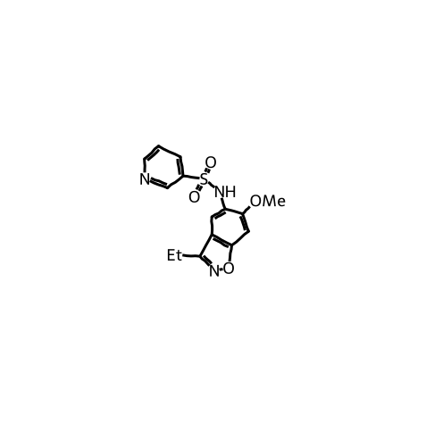 CCc1noc2cc(OC)c(NS(=O)(=O)c3cccnc3)cc12